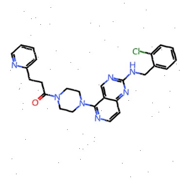 O=C(CCc1ccccn1)N1CCN(c2nccc3nc(NCc4ccccc4Cl)ncc23)CC1